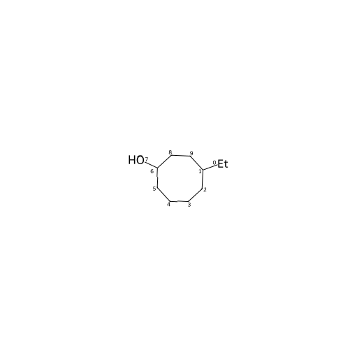 CCC1CCCCC(O)CC1